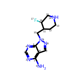 Nc1ncnc2c1cnn2CC1CCNC[C@@H]1F